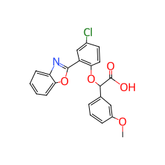 COc1cccc(C(Oc2ccc(Cl)cc2-c2nc3ccccc3o2)C(=O)O)c1